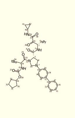 CCC[C@H](NC(=O)[C@@H]1CN(c2ccc(-c3ccccc3)cc2)CN1C(=O)C(NC(=O)OC1CCCC1)C(C)(C)C)C(=O)C(=O)NC1CC1